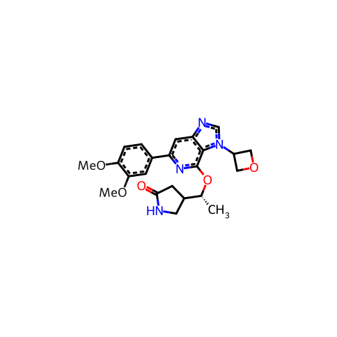 COc1ccc(-c2cc3ncn(C4COC4)c3c(O[C@H](C)C3CNC(=O)C3)n2)cc1OC